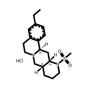 CCc1ccc2c(c1)CCN1C[C@H]3CCCN(S(C)(=O)=O)[C@H]3C[C@H]21.Cl